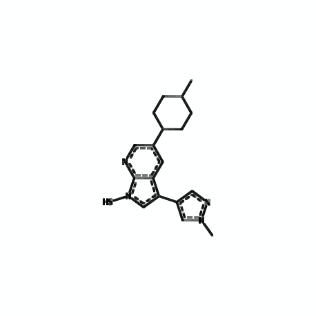 CC1CCC(c2cnc3c(c2)c(-c2cnn(C)c2)cn3S)CC1